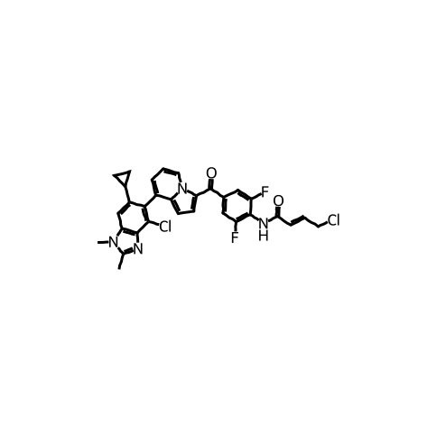 Cc1nc2c(Cl)c(-c3cccn4c(C(=O)c5cc(F)c(NC(=O)/C=C/CCl)c(F)c5)ccc34)c(C3CC3)cc2n1C